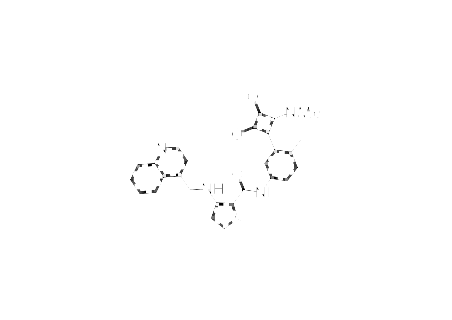 CNc1c(-c2cc(NC(=O)c3sccc3NCc3ccnc4ccccc34)ccc2C)c(=O)c1=O